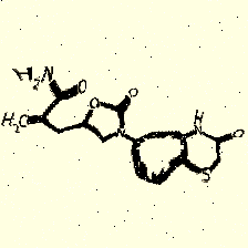 C=C(CC1CN(c2ccc3c(c2)NC(=O)CS3)C(=O)O1)C(N)=O